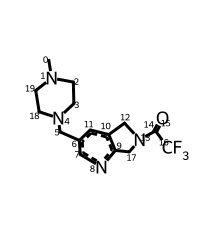 CN1CCN(Cc2cnc3c(c2)CN(C(=O)C(F)(F)F)C3)CC1